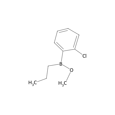 CCCB(OC)c1ccccc1Cl